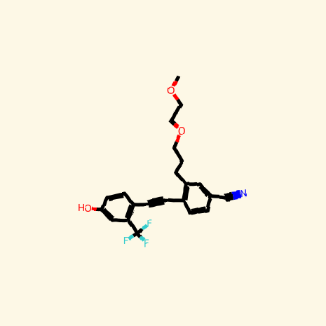 COCCOCCCc1cc(C#N)ccc1C#Cc1ccc(O)cc1C(F)(F)F